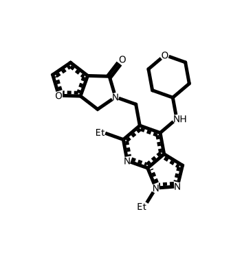 CCc1nc2c(cnn2CC)c(NC2CCOCC2)c1CN1Cc2occc2C1=O